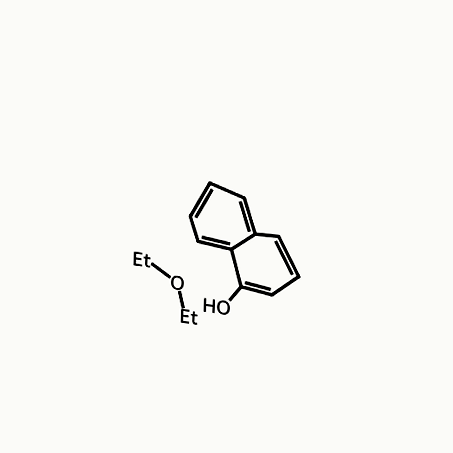 CCOCC.Oc1cccc2ccccc12